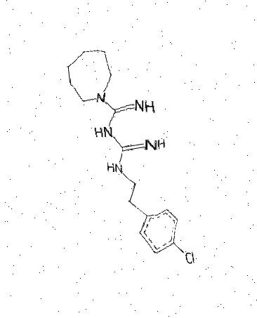 N=C(NCCc1ccc(Cl)cc1)NC(=N)N1CCCCCC1